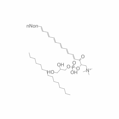 CCCCCCCCCC=CC=CC=CC=CC=CC=CC(=O)C(C[N+](C)(C)C)OP(=O)(O)OCC(O)CO.CCCCCCCCCCCCCCC